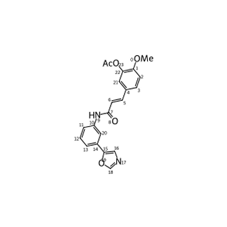 COc1ccc(C=CC(=O)Nc2cccc(-c3cnco3)c2)cc1OC(C)=O